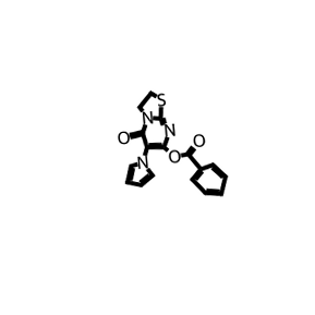 O=C(Oc1nc2n(c(=O)c1-n1cccc1)CCS2)c1ccccc1